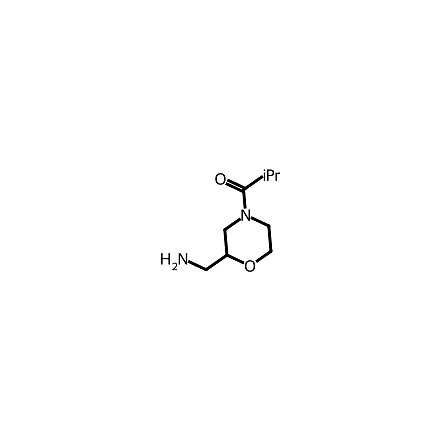 CC(C)C(=O)N1CCOC(CN)C1